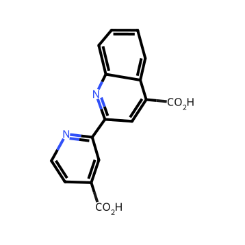 O=C(O)c1ccnc(-c2cc(C(=O)O)c3ccccc3n2)c1